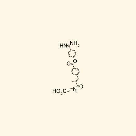 C/C(=C\c1ccc(C(=O)Oc2ccc(C(=N)N)cc2)cc1)C(=O)N(C)CCC(=O)O